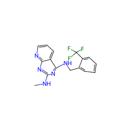 CNc1nc(NCc2ccccc2C(F)(F)F)c2cccnc2n1